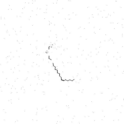 CCCCCC/C=C\CCCCCCCCCOC[C@H](O)COP(=O)(O)OCC[N+](C)(C)C